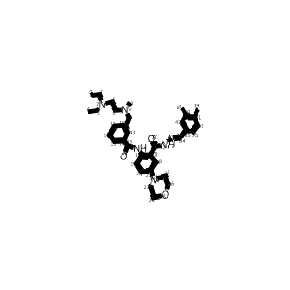 CCN(CC)CCN(C)Cc1cccc(C(=O)Nc2ccc(N3CCOCC3)cc2C(=O)NN=Cc2ccc(C)c(C)c2)c1